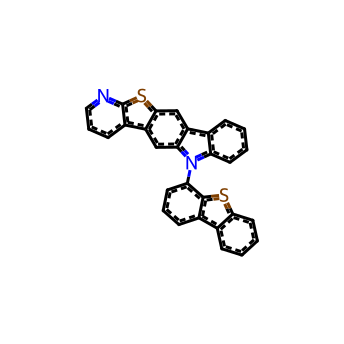 c1ccc2c(c1)sc1c(-n3c4ccccc4c4cc5sc6ncccc6c5cc43)cccc12